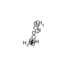 COc1ccc2c(Oc3ccc(NS(N)(=O)=O)cc3)ccnc2c1F